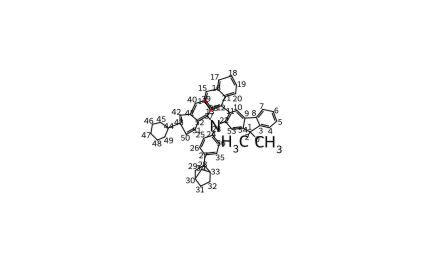 CC1(C)c2ccccc2-c2cc(-c3cccc4ccccc34)c(N(c3ccc(C4CC5CCC4C5)cc3)c3cccc4cc(C5CCCCC5)ccc34)cc21